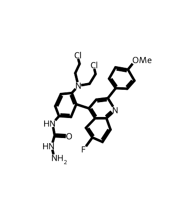 COc1ccc(-c2cc(-c3cc(NC(=O)NN)ccc3N(CCCl)CCCl)c3cc(F)ccc3n2)cc1